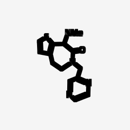 CNC1C(=O)N(Cc2cnccn2)CCc2ccsc21